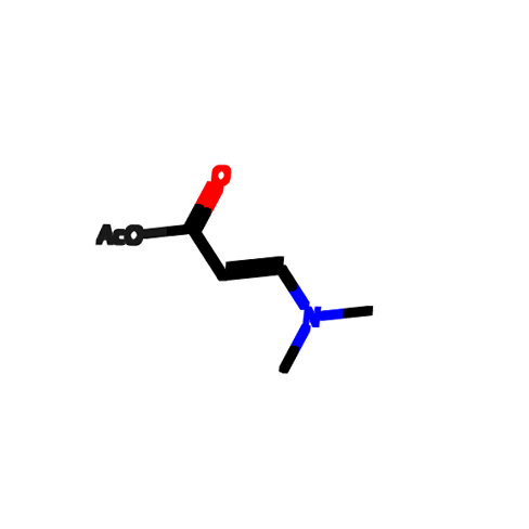 CC(=O)OC(=O)C=CN(C)C